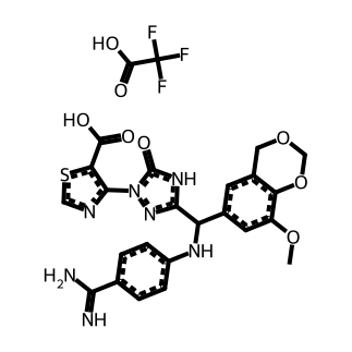 COc1cc(C(Nc2ccc(C(=N)N)cc2)c2nn(-c3ncsc3C(=O)O)c(=O)[nH]2)cc2c1OCOC2.O=C(O)C(F)(F)F